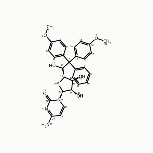 COc1ccc(C(c2ccccc2)(c2ccc(OC)cc2)C(O)[C@@H]2S[C@H](n3ccc(N)nc3=O)[C@H](O)[C@@H]2O)cc1